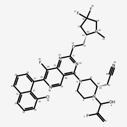 C=C(F)C(O)N1CCN(c2nc(OC[C@@H]3CC(F)(F)CN3C)nc3c(F)c(-c4cccc5cccc(Cl)c45)ncc23)C[C@@H]1CC#N